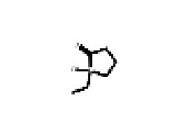 CC[N+]1([O-])CCCC1=O